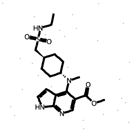 CCNS(=O)(=O)C[C@H]1CC[C@H](N(C)c2c(C(=O)OC)cnc3[nH]ccc23)CC1